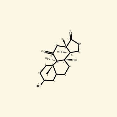 C[C@]12CC[C@H](O)CC1CC[C@@H]1[C@@H]2C(=O)C[C@]2(C)C(=O)CC[C@@H]12